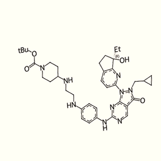 CC[C@@]1(O)CCc2ccc(-n3c4nc(Nc5ccc(NCCNC6CCN(C(=O)OC(C)(C)C)CC6)cc5)ncc4c(=O)n3CC3CC3)nc21